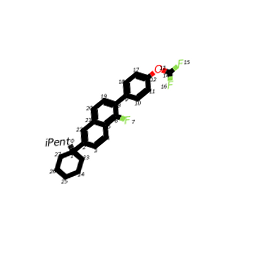 CCCC(C)C1(c2ccc3c(F)c(-c4ccc(OC(F)F)cc4)ccc3c2)CCCCC1